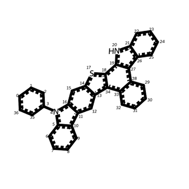 c1ccc(-n2c3ccccc3c3cc4c(cc32)sc2c3[nH]c5ccccc5c3c3ccccc3c42)cc1